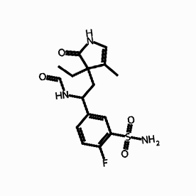 CCC1(CC(NC=O)c2ccc(F)c(S(N)(=O)=O)c2)C(=O)NC=C1C